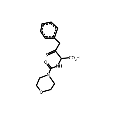 O=C(O)C(NC(=O)N1CCOCC1)C(=S)Cc1ccccc1